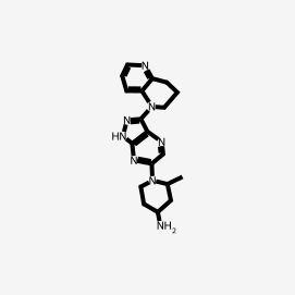 CC1CC(N)CCN1c1cnc2c(N3CCCc4ncccc43)n[nH]c2n1